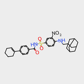 O=C(NS(=O)(=O)c1ccc(NCC23CC4CC(CC(C4)C2)C3)c([N+](=O)[O-])c1)c1ccc(C2=CCCCC2)cc1